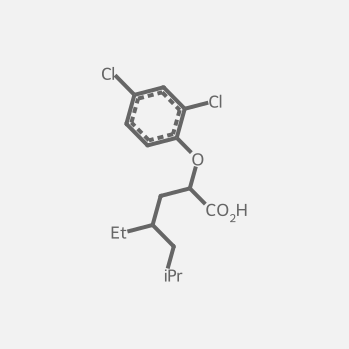 CCC(CC(C)C)CC(Oc1ccc(Cl)cc1Cl)C(=O)O